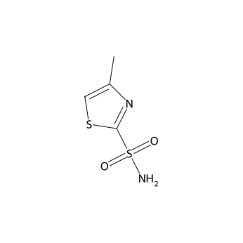 Cc1csc(S(N)(=O)=O)n1